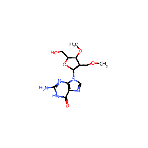 COCC1C(OC)C(CO)OC1n1cnc2c(=O)[nH]c(N)nc21